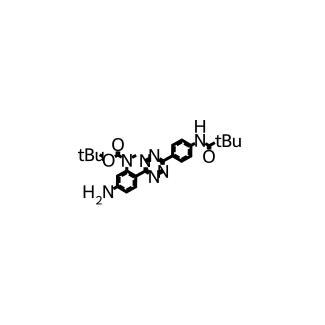 CN(C(=O)OC(C)(C)C)c1cc(N)ccc1-c1nnc(-c2ccc(NC(=O)C(C)(C)C)cc2)nn1